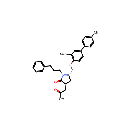 COC(=O)C[C@@H]1C[C@@H](COc2ccc(-c3ccc(C#N)cc3)cc2SC)N(CCCc2ccccc2)C1=O